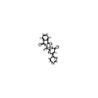 CC(c1nc(-c2ccncn2)cc(=O)[nH]1)N1C(=O)c2ccccc2C1=O